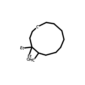 CCC1(CC)CCCCCCCCCCC1C=O